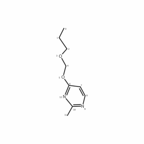 CCCOCOc1ccnc(C)n1